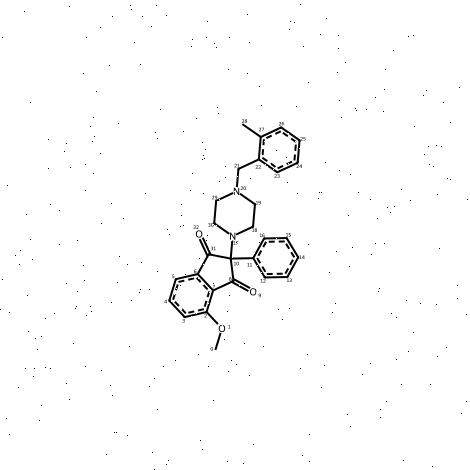 COc1cccc2c1C(=O)C(c1ccccc1)(N1CCN(Cc3ccccc3C)CC1)C2=O